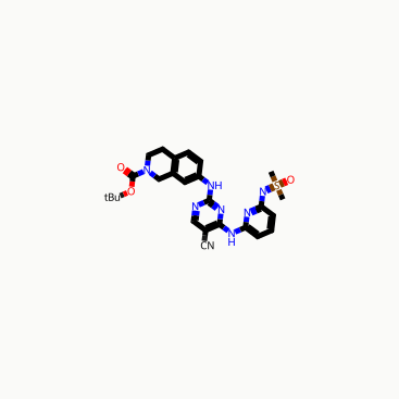 CC(C)(C)OC(=O)N1CCc2ccc(Nc3ncc(C#N)c(Nc4cccc(N=S(C)(C)=O)n4)n3)cc2C1